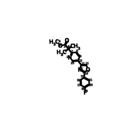 COC(=O)C(C)(C)c1ccc(-c2coc(-c3ccc(F)cc3)n2)cn1